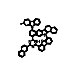 CC1C=Cc2c(n(-c3ccc(C4N=C(c5ccc6ccccc6c5)N=C(c5cccc6c5sc5c(-n7c8c(c9ccccc97)C=CC7C=CC=CC87)cccc56)N4)cc3)c3ccccc23)C1